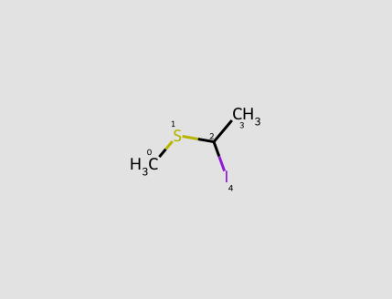 CSC(C)I